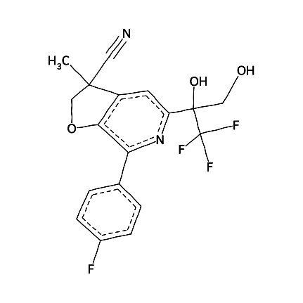 CC1(C#N)COc2c1cc(C(O)(CO)C(F)(F)F)nc2-c1ccc(F)cc1